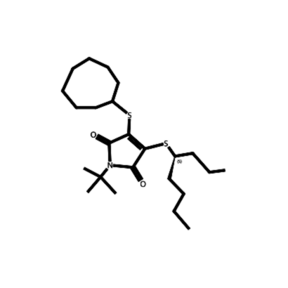 CCCC[C@H](CCC)SC1=C(SC2CCCCCCC2)C(=O)N(C(C)(C)C)C1=O